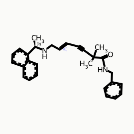 C[C@@H](NC/C=C/C#CC(C)(C)C(=O)NCc1ccccc1)c1cccc2ccccc12